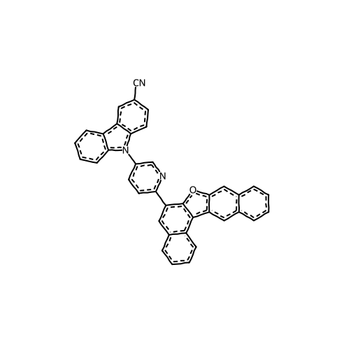 N#Cc1ccc2c(c1)c1ccccc1n2-c1ccc(-c2cc3ccccc3c3c2oc2cc4ccccc4cc23)nc1